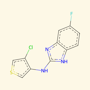 Fc1ccc2[nH]c(Nc3cscc3Cl)nc2c1